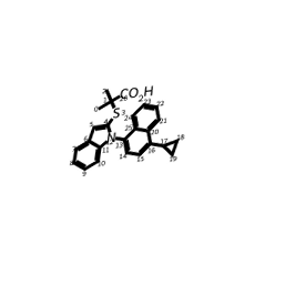 CC(C)(Sc1cc2ccccc2n1-c1ccc(C2CC2)c2ccccc12)C(=O)O